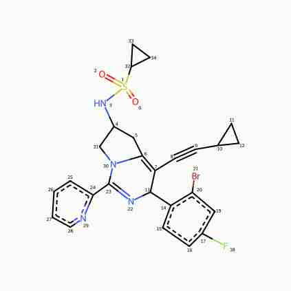 O=S(=O)(NC1CC2=C(C#CC3CC3)C(c3ccc(F)cc3Br)N=C(c3ccccn3)N2C1)C1CC1